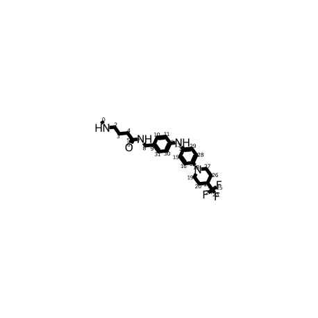 CNCCCC(=O)NCc1ccc(Nc2ccc(N3CCC(C(F)(F)F)CC3)cc2)cc1